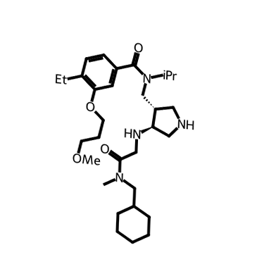 CCc1ccc(C(=O)N(C[C@@H]2CNC[C@H]2NCC(=O)N(C)CC2CCCCC2)C(C)C)cc1OCCCOC